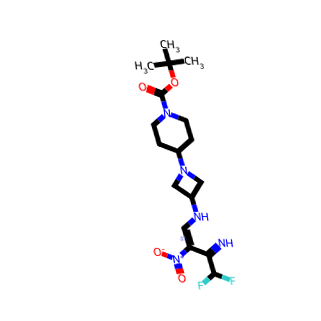 CC(C)(C)OC(=O)N1CCC(N2CC(N/C=C(\C(=N)C(F)F)[N+](=O)[O-])C2)CC1